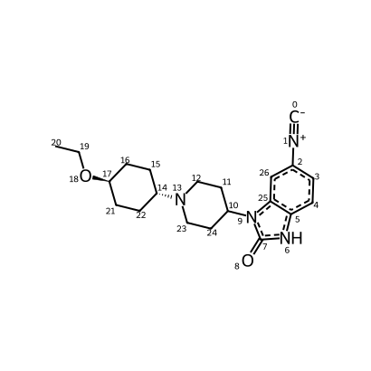 [C-]#[N+]c1ccc2[nH]c(=O)n(C3CCN([C@H]4CC[C@H](OCC)CC4)CC3)c2c1